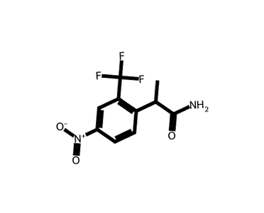 CC(C(N)=O)c1ccc([N+](=O)[O-])cc1C(F)(F)F